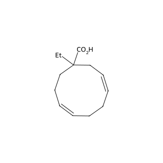 CCC1(C(=O)O)CC=CCCC=CCC1